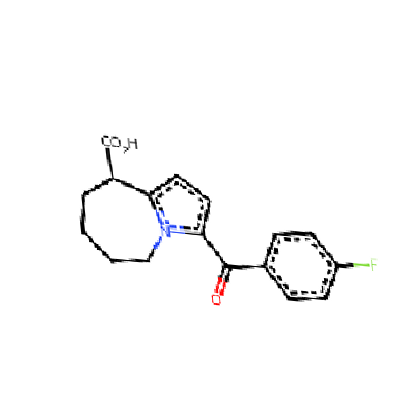 O=C(c1ccc(F)cc1)c1ccc2n1CCCCC2C(=O)O